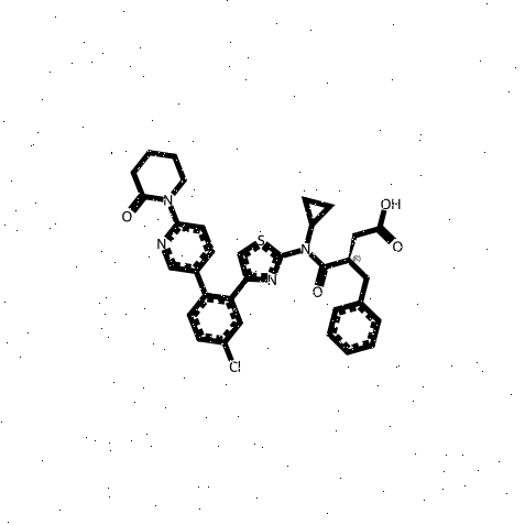 O=C(O)C[C@@H](Cc1ccccc1)C(=O)N(c1nc(-c2cc(Cl)ccc2-c2ccc(N3CCCCC3=O)nc2)cs1)C1CC1